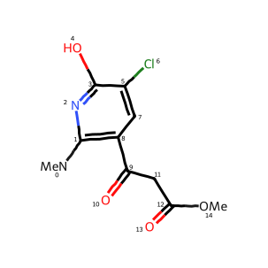 CNc1nc(O)c(Cl)cc1C(=O)CC(=O)OC